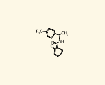 CC(Nc1noc2ccccc12)c1ccc(C(F)(F)F)cc1